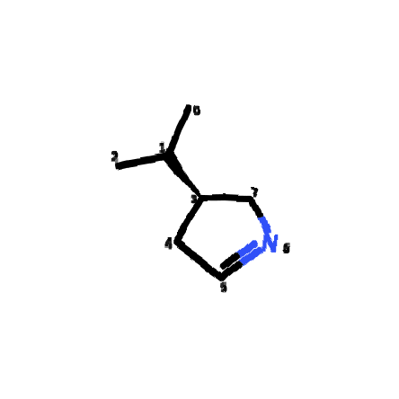 CC(C)[C@@H]1CC=NC1